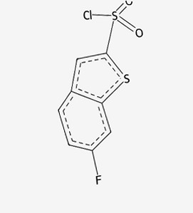 O=S(=O)(Cl)c1cc2ccc(F)cc2s1